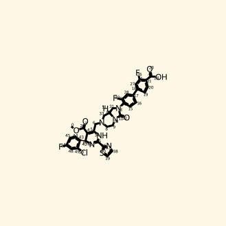 COC(=O)C1=C(CN2CCN3C(=O)N(c4ccc(-c5ccc(C(=O)O)c(F)c5)cc4F)C[C@@H]3C2)NC(c2nccs2)=N[C@H]1c1ccc(F)cc1Cl